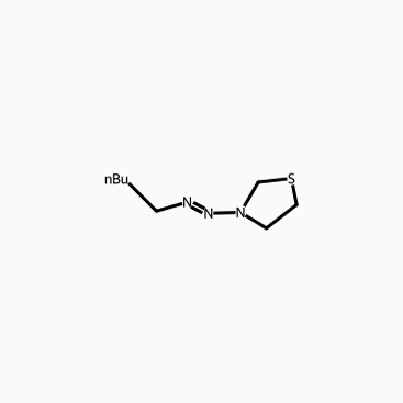 CCCCCN=NN1CCSC1